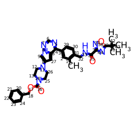 Cc1cc(-c2ncnn3cc(N4CCN(C(=O)OCc5ccccc5)CC4)cc23)ccc1CNC(=O)c1noc(C(C)(C)C)n1